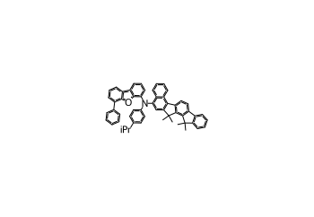 CC(C)c1ccc(N(c2cc3c(c4ccccc24)-c2ccc4c(c2C3(C)C)C(C)(C)c2ccccc2-4)c2cccc3c2oc2c(-c4ccccc4)cccc23)cc1